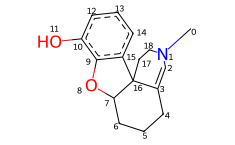 CN1C=C2CCCC3Oc4c(O)cccc4C23CC1